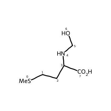 CSCCC(NCO)C(=O)O